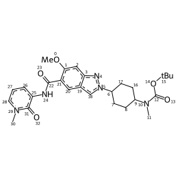 COc1cc2nn(C3CCC(N(C)C(=O)OC(C)(C)C)CC3)cc2cc1C(=O)Nc1cccn(C)c1=O